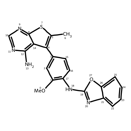 COc1cc(-c2c(C)sc3ncnc(N)c23)ccc1Nc1nc2ccccc2o1